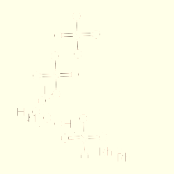 O.O.O.O.O=S(=O)([O-])[O-].O=S(=O)([O-])[O-].O=S(=O)([O-])[O-].[Rh+3].[Rh+3]